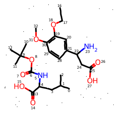 CC(C)CC(NC(=O)OC(C)(C)C)C(=O)O.CCOc1cc(C(N)CC(=O)O)ccc1OC